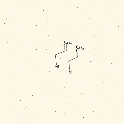 C=C[CH2][Ni].C=C[CH2][Ni]